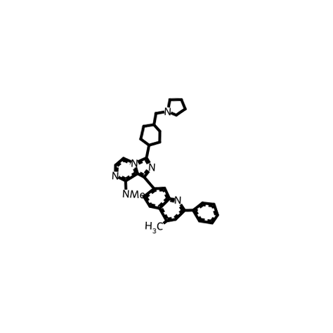 CNc1nccn2c(C3CCC(CN4CCCC4)CC3)nc(-c3ccc4c(C)cc(-c5ccccc5)nc4c3)c12